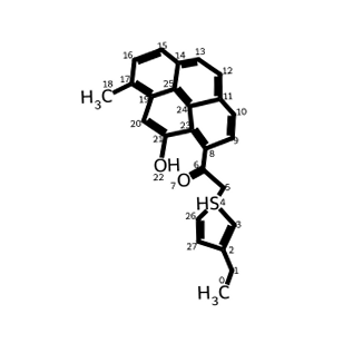 CCC1=C[SH](CC(=O)c2ccc3ccc4ccc(C)c5cc(O)c2c3c45)C=C1